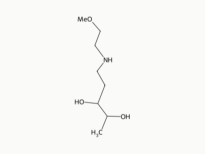 COCCNCCC(O)C(C)O